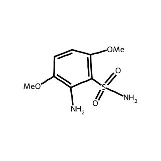 COc1ccc(OC)c(S(N)(=O)=O)c1N